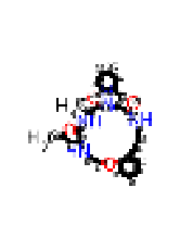 CCC[C@@H]1NCCOc2ccccc2CCCNC(=O)[C@@H](Cc2ccccc2)NC(=O)[C@H](C)NC1=O